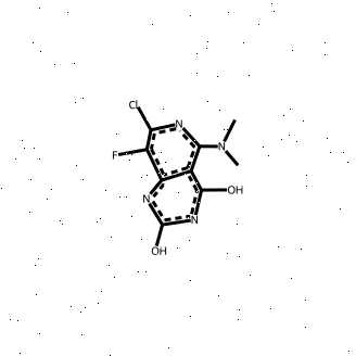 CN(C)c1nc(Cl)c(F)c2nc(O)nc(O)c12